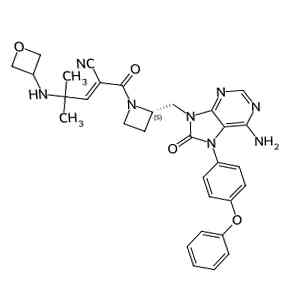 CC(C)(C=C(C#N)C(=O)N1CC[C@H]1Cn1c(=O)n(-c2ccc(Oc3ccccc3)cc2)c2c(N)ncnc21)NC1COC1